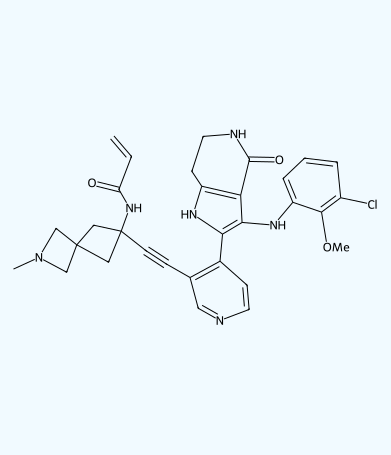 C=CC(=O)NC1(C#Cc2cnccc2-c2[nH]c3c(c2Nc2cccc(Cl)c2OC)C(=O)NCC3)CC2(CN(C)C2)C1